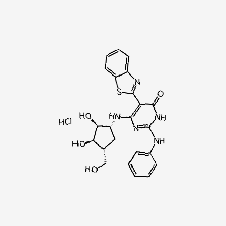 Cl.O=c1[nH]c(Nc2ccccc2)nc(N[C@@H]2C[C@H](CO)[C@@H](O)[C@H]2O)c1-c1nc2ccccc2s1